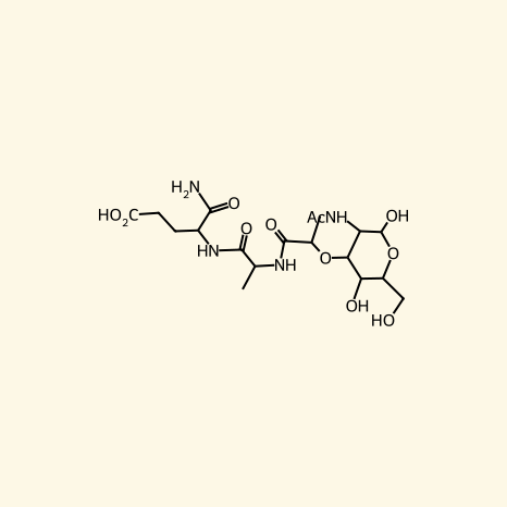 CC(=O)NC1C(O)OC(CO)C(O)C1OC(C)C(=O)NC(C)C(=O)NC(CCC(=O)O)C(N)=O